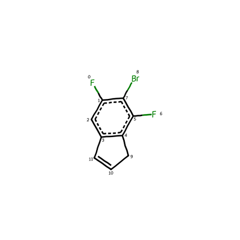 Fc1cc2c(c(F)c1Br)CC=C2